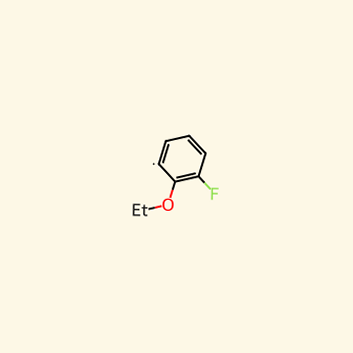 CCOc1[c]cccc1F